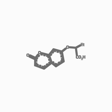 CCC(Oc1ccc2ccc(=O)oc2c1)C(=O)O